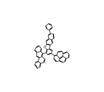 c1ccc(-c2ccc3cc4c(cc3c2)oc2c(-c3c5ccccc5cc5c3ccc3ccccc35)cc(-c3ccc5ccc6cccc7ccc3c5c67)cc24)cc1